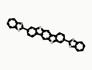 c1ccc2oc(-c3ccc4c(c3)oc3cc5c(cc34)oc3cc(-c4nc6ccccc6o4)ccc35)nc2c1